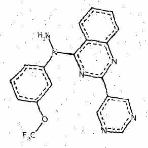 NN(c1cccc(OC(F)(F)F)c1)c1nc(-c2cncnc2)nc2ccccc12